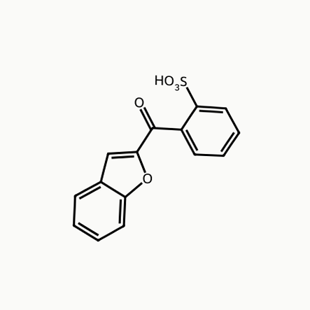 O=C(c1cc2ccccc2o1)c1ccccc1S(=O)(=O)O